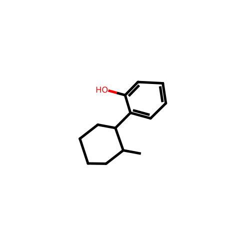 CC1CCCCC1c1ccccc1O